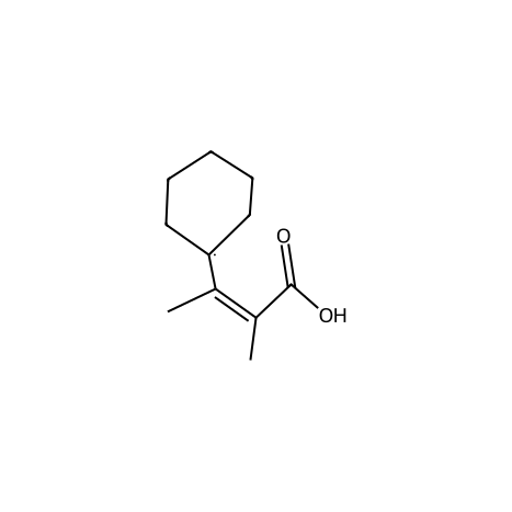 CC([C]1CCCCC1)=C(C)C(=O)O